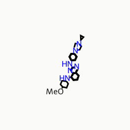 COC1CCC(Nc2cccc3cnc(Nc4ccc(N5CCN(C6CC6)CC5)cc4)nc23)CC1